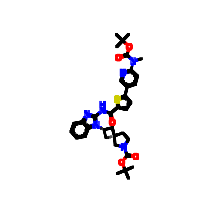 CN(C(=O)OC(C)(C)C)c1ccc(-c2ccc(C(=O)Nc3nc4ccccc4n3[C@H]3C[C@@]4(CCN(C(=O)OC(C)(C)C)C4)C3)s2)cn1